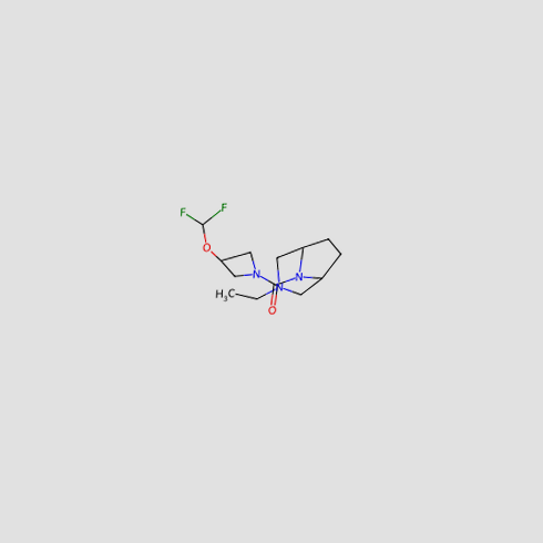 CCN1CC2CCC(C1)N2C(=O)N1CC(OC(F)F)C1